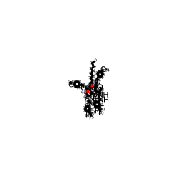 CCCCCCCCCCS(=O)(=O)N[C@H]1C(COCc2ccc(OC)cc2)OCC(NC(=O)Nc2cccc(C(F)(F)F)c2)[C@H]1O[C@@H]1OC(COCc2ccc(OC)cc2)[C@@H](C)[C@H](C)C1NC(=O)Nc1cccc(C(F)(F)F)c1